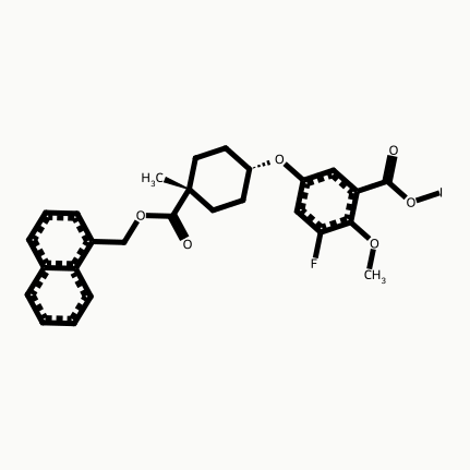 COc1c(F)cc(O[C@H]2CC[C@@](C)(C(=O)OCc3cccc4ccccc34)CC2)cc1C(=O)OI